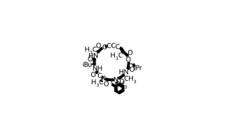 CCC(C)[C@@H]1NC(=O)CN(C)C(=O)[C@@H](Cc2ccccc2)N(C)C(=O)[C@H](C)NC(=O)[C@@H](CC(C)C)OC(=O)/C(C)=C/CCCOC(=O)[C@H](C)NC1=O